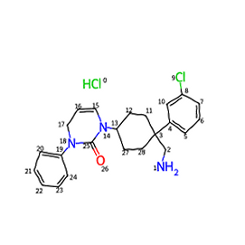 Cl.NCC1(c2cccc(Cl)c2)CCC(N2C=CCN(c3ccccc3)C2=O)CC1